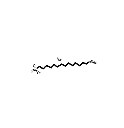 CCCCCCCCCCCCCCCCCCCCCCCCS(=O)(=O)[O-].[Na+]